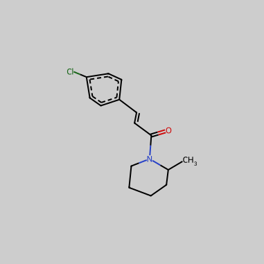 CC1CCCCN1C(=O)/C=C/c1ccc(Cl)cc1